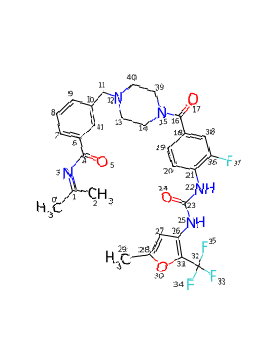 CC(C)=NC(=O)c1cccc(CN2CCN(C(=O)c3ccc(NC(=O)Nc4cc(C)oc4C(F)(F)F)c(F)c3)CC2)c1